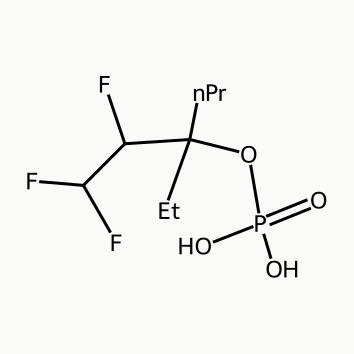 CCCC(CC)(OP(=O)(O)O)C(F)C(F)F